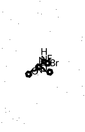 Fc1c(Br)ccc2c(-c3ccc(OCc4ccccc4)nc3OCc3ccccc3)n[nH]c12